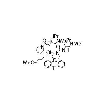 CNC[C@H](CC(C)C)NC(=O)N1CCCCC1.CNC[C@H](CC(C)C)NC(=O)N1CCC[C@@H]([C@@](O)(CCCCOC)c2cccc(F)c2Oc2ccccc2)C1